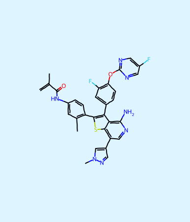 C=C(C)C(=O)Nc1ccc(-c2sc3c(-c4cnn(C)c4)cnc(N)c3c2-c2ccc(Oc3ncc(F)cn3)c(F)c2)c(C)c1